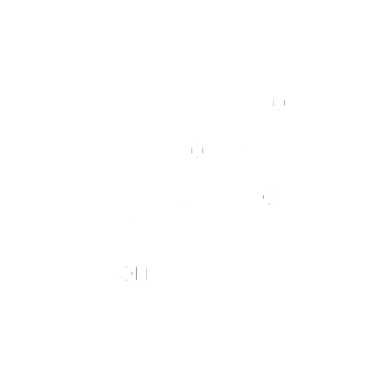 Cc1oc(=O)oc1C(C)O